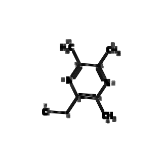 Cc1nc(C)c(CCl)nc1C